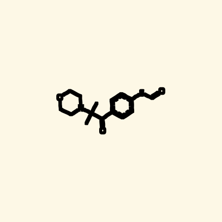 CC(C)(C(=O)c1ccc(SC=O)cc1)N1CCOCC1